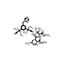 CC(C)(C#N)c1cc(Cn2cncn2)cc(C(C)(C)C#N)c1.CNC(=O)[C@@H](NC(=O)[C@H](CC(C)C)[C@H](O)C(=O)NO)C(C)(C)C